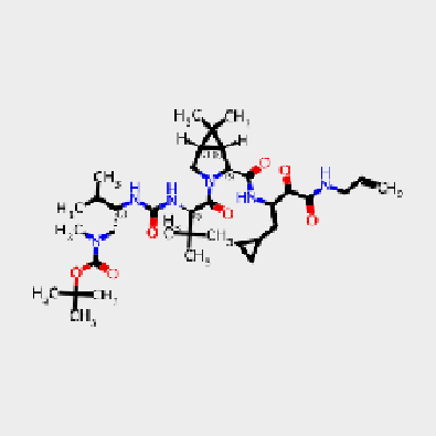 C=CCNC(=O)C(=O)C(CC1CC1)NC(=O)[C@@H]1[C@@H]2[C@H](CN1C(=O)[C@@H](NC(=O)N[C@H](CN(C)C(=O)OC(C)(C)C)C(C)C)C(C)(C)C)C2(C)C